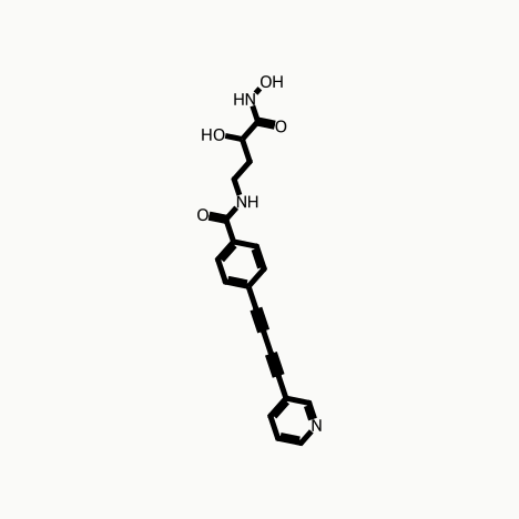 O=C(NCCC(O)C(=O)NO)c1ccc(C#CC#Cc2cccnc2)cc1